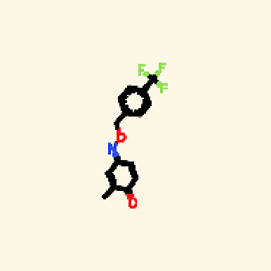 CC1=CC(=NOCc2ccc(C(F)(F)F)cc2)C=CC1=O